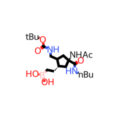 CCCCNC(=O)[C@@]1(NC(C)=O)CC(CNC(=O)OC(C)(C)C)[C@@H](CCB(O)O)C1